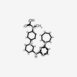 CN(C(=O)O)C1CCC(N2CCCC(Nc3nccc(N4CCCCCC4)n3)C2)CC1